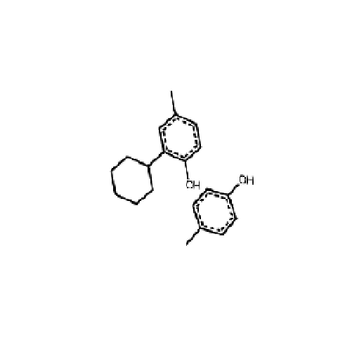 Cc1ccc(O)c(C2CCCCC2)c1.Cc1ccc(O)cc1